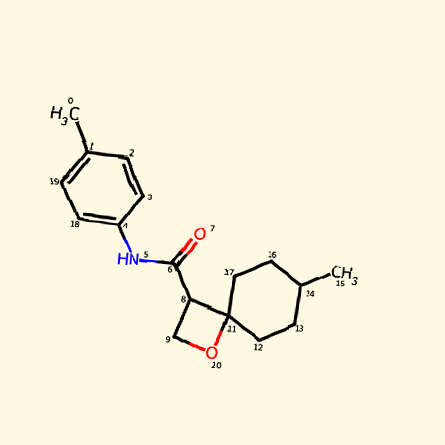 Cc1ccc(NC(=O)C2COC23CCC(C)CC3)cc1